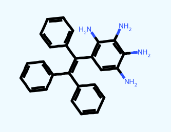 Nc1cc(C(=C(c2ccccc2)c2ccccc2)c2ccccc2)c(N)c(N)c1N